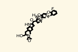 Cc1cc(Oc2c(F)cccc2F)ncc1-n1ncc(C(=O)c2cc3cc4c(cc3[nH]2)CC(CO)N(C2COC2)C4)c1N